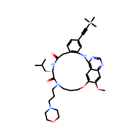 COc1cc2ncnc3c2cc1OCCCN(CCCN1CCOCC1)C(=O)[C@H](CC(C)C)NC(=O)Cc1ccc(C#C[Si](C)(C)C)cc1N3